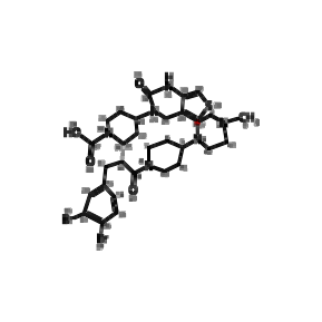 CN1CCN(C2CCN(C(=O)C(Cc3ccc(Br)c(Br)c3)[C@H]3CC(N4Cc5cscc5NC4=O)CCN3C(=O)O)CC2)CC1